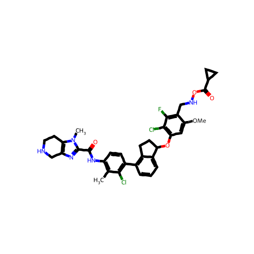 COc1cc(OC2CCc3c(-c4ccc(NC(=O)c5nc6c(n5C)CCNC6)c(C)c4Cl)cccc32)c(Cl)c(F)c1CNOC(=O)C1CC1